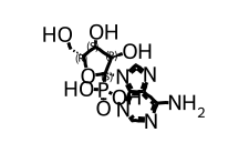 Nc1ncnc2c1ncn2[C@]1(P(=O)(O)O)O[C@H](CO)[C@@H](O)[C@H]1O